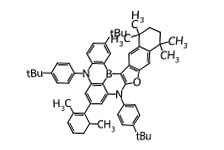 CC1=C(c2cc3c4c(c2)N(c2ccc(C(C)(C)C)cc2)c2oc5cc6c(cc5c2B4c2cc(C(C)(C)C)ccc2N3c2ccc(C(C)(C)C)cc2)C(C)(C)CCC6(C)C)C(C)CC=C1